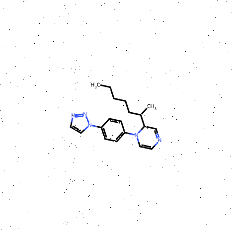 CCCCCC(C)C1C=NC=CN1c1ccc(-n2ccnn2)cc1